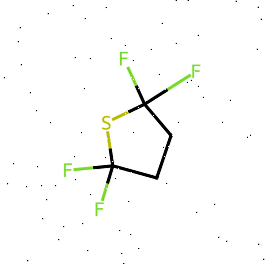 FC1(F)CCC(F)(F)S1